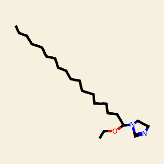 CCCCCCCCCCCCCCCCCC(OCC)N1C=NCC1